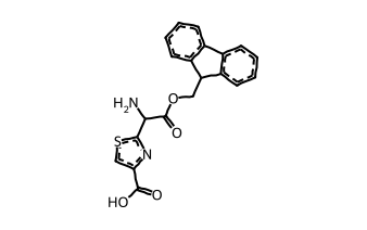 NC(C(=O)OCC1c2ccccc2-c2ccccc21)c1nc(C(=O)O)cs1